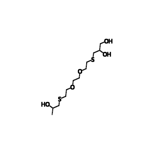 CC(O)CSCCOCCOCCSCC(O)CO